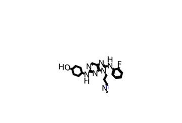 C/N=C/CCn1c(Nc2ccccc2F)nc2cnc(NC3CCC(O)CC3)nc21